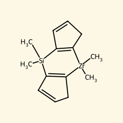 C[Si]1(C)C2=[C](CC=C2)[Zr]([CH3])([CH3])[C]2=C1C=CC2